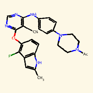 CC(=O)N1CCN(c2ccc(Nc3ncnc(Oc4ccc5[nH]c(C)cc5c4F)c3C#N)cc2)CC1